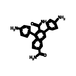 NC(=O)c1ccc2c(-c3ccc(N)cc3)c(C(N)=O)c(-c3ccc(N)cc3)cc2c1